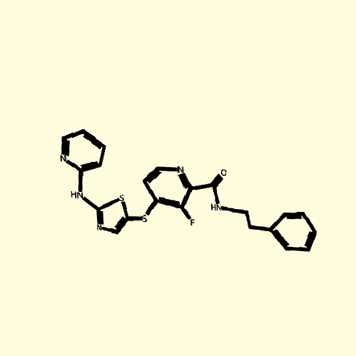 O=C(NCCc1ccccc1)c1nccc(Sc2cnc(Nc3ccccn3)s2)c1F